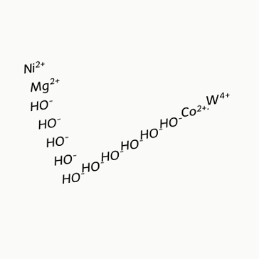 [Co+2].[Mg+2].[Ni+2].[OH-].[OH-].[OH-].[OH-].[OH-].[OH-].[OH-].[OH-].[OH-].[OH-].[W+4]